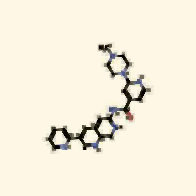 CN1CCN(c2cc(C(=O)Nc3cc4cc(-c5ccccn5)cnc4cn3)ccn2)CC1